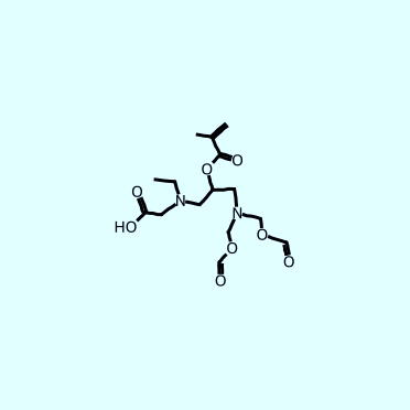 C=C(C)C(=O)OC(CN(COC=O)COC=O)CN(CC)CC(=O)O